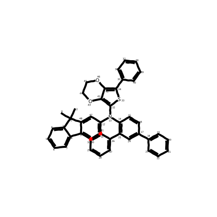 CC1(C)c2ccccc2-c2ccc(N(c3ccc(-c4ccccc4)cc3-c3ccccc3)c3sc(-c4ccccc4)c4c3OCCO4)cc21